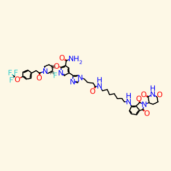 NC(=O)c1cc(-c2cn(CCCC(=O)NCCCCCCCNc3cccc4c3C(=O)N(C3CCC(=O)NC3=O)C4=O)cn2)cnc1O[C@@H]1CCN(C(=O)Cc2ccc(OC(F)(F)F)cc2)C[C@H]1F